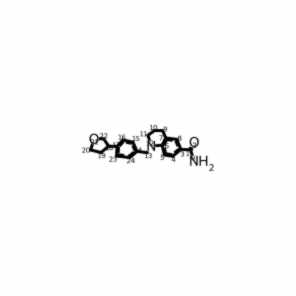 NC(=O)c1ccc2c(c1)CCCN2Cc1ccc(C2CCOC2)cc1